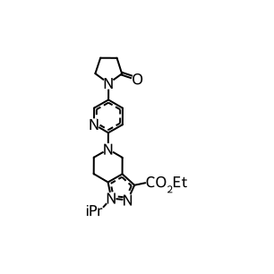 CCOC(=O)c1nn(C(C)C)c2c1CN(c1ccc(N3CCCC3=O)cn1)CC2